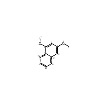 COc1cc(OC)c2ncccc2c1